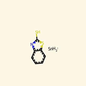 Sc1nc2ccccc2s1.[SnH2]